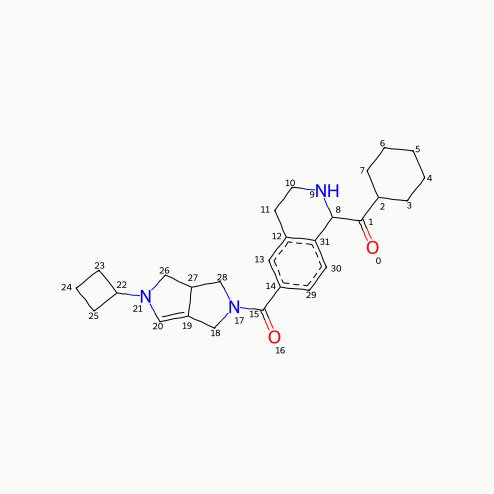 O=C(C1CCCCC1)C1NCCc2cc(C(=O)N3CC4=CN(C5CCC5)CC4C3)ccc21